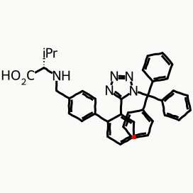 CC(C)[C@H](NCc1ccc(-c2ccccc2-c2nnnn2C(c2ccccc2)(c2ccccc2)c2ccccc2)cc1)C(=O)O